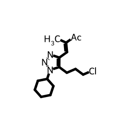 CC(=O)/C(C)=C/c1nnn(C2CCCCC2)c1CCCCl